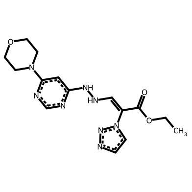 CCOC(=O)/C(=C/NNc1cc(N2CCOCC2)ncn1)n1ccnn1